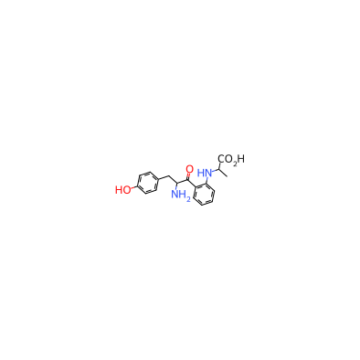 CC(Nc1ccccc1C(=O)C(N)Cc1ccc(O)cc1)C(=O)O